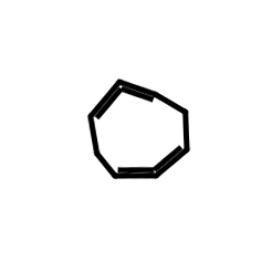 C1=CCC=C=CCC=1